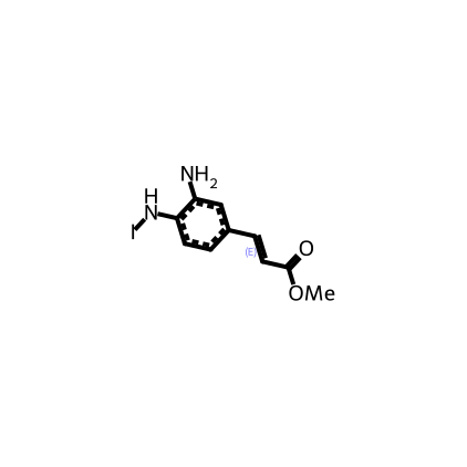 COC(=O)/C=C/c1ccc(NI)c(N)c1